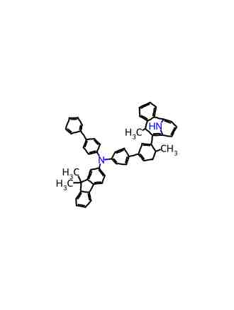 CC1CC=C(c2ccc(N(c3ccc(-c4ccccc4)cc3)c3ccc4c(c3)C(C)(C)c3ccccc3-4)cc2)C=C1C1=C2C=CC=C(N2)c2ccccc2C1C